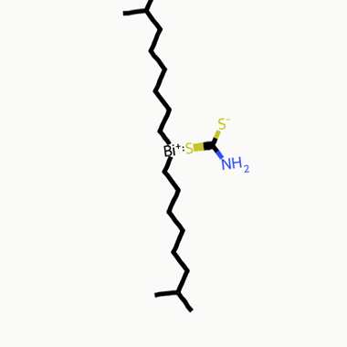 CC(C)CCCCC[CH2][Bi+][CH2]CCCCCC(C)C.NC(=S)[S-]